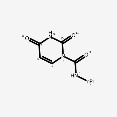 CCCNC(=O)n1ccc(=O)[nH]c1=O